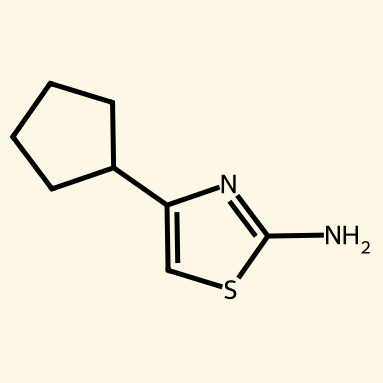 Nc1nc(C2CCCC2)cs1